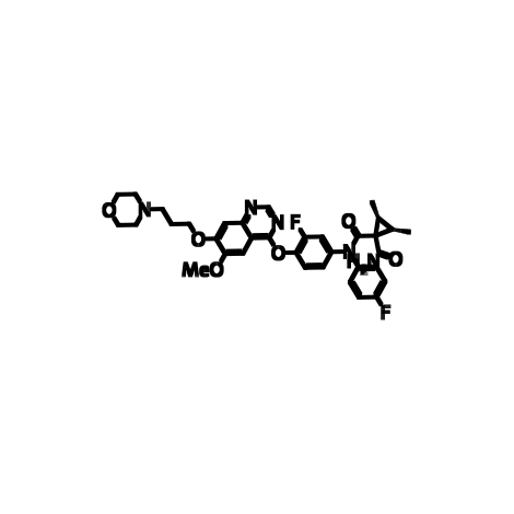 COc1cc2c(Oc3ccc(N(C(=O)C4(C(N)=O)[C@H](C)[C@@H]4C)c4ccc(F)cc4)cc3F)ncnc2cc1OCCCN1CCOCC1